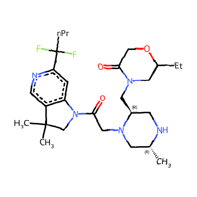 CCCC(F)(F)c1cc2c(cn1)C(C)(C)CN2C(=O)CN1C[C@@H](C)NC[C@@H]1CN1CC(CC)OCC1=O